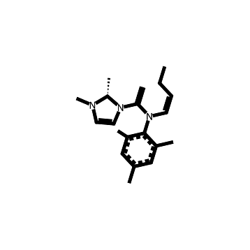 C=C(N(/C=C\CC)c1c(C)cc(C)cc1C)N1C=CN(C)[C@@H]1C